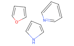 c1cc[nH]c1.c1ccncc1.c1ccoc1